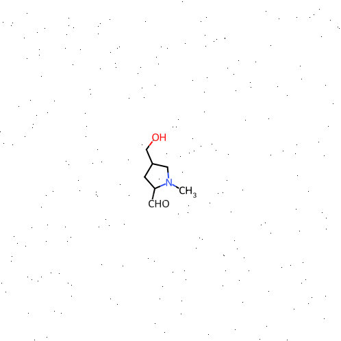 CN1CC(CO)CC1C=O